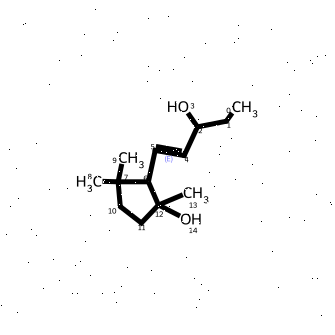 CCC(O)/C=C/C1C(C)(C)CCC1(C)O